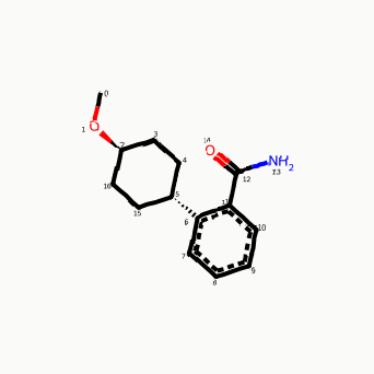 CO[C@H]1CC[C@H](c2ccccc2C(N)=O)CC1